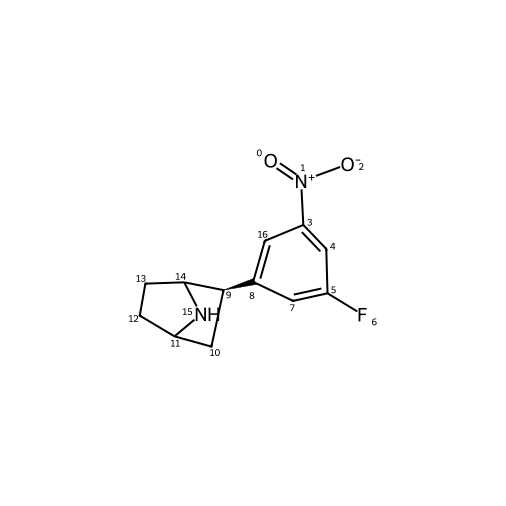 O=[N+]([O-])c1cc(F)cc([C@H]2CC3CCC2N3)c1